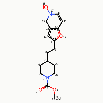 CC(C)(C)OC(=O)N1CCC(CCc2cc3c(o2)C=CN(O)C3)CC1